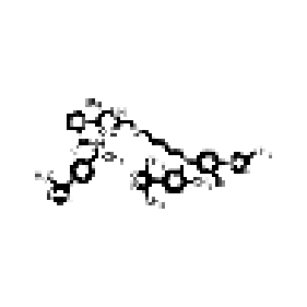 Cc1cn(-c2ccc(N(CCCCCOCC(=O)N[C@H](C(=O)N3CCC[C@H]3C(=O)N[C@@H](C)c3ccc(-c4scnc4C)cc3)C(C)(C)C)c3cc(-c4c(C)noc4C)ccc3C)cc2Br)cn1